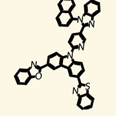 c1ccc2c(-n3c(-c4ccc(-n5c6ccc(-c7nc8ccccc8o7)cc6c6cc(-c7nc8ccccc8s7)ccc65)nc4)nc4ccccc43)cccc2c1